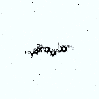 Cn1c(CN2CC=C(c3cccc(OCc4ccc(N)cc4P)n3)CC2)nc2cc(C(=O)O)sc21